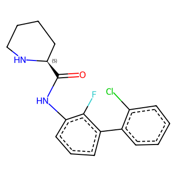 O=C(Nc1cccc(-c2ccccc2Cl)c1F)[C@@H]1CCCCN1